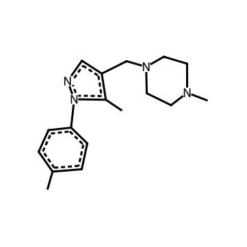 Cc1ccc(-n2ncc(CN3CCN(C)CC3)c2C)cc1